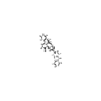 [O-][n+]1cc2nc(N3CCN(Cc4ccccc4)CC3)cn2c2c1C(c1ccccc1)=CCN2